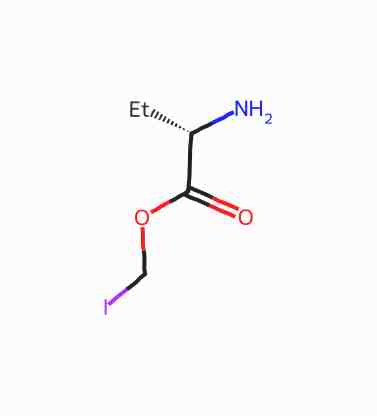 CC[C@H](N)C(=O)OCI